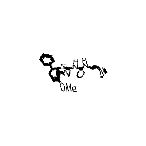 COc1ccc(-c2ccccc2)c2sc(NC(=O)NCCN(C)C)nc12